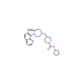 COc1ccc2cccnc2c1N1CCCN(CC2CCN(C(=O)OC3CCCC3)CC2)CC1